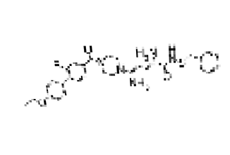 CCOc1ccc(-c2ccc(C(=O)N3CCN(/C(N)=C/C=C(\N)C(=O)NSCc4ccccc4)CC3)cc2F)cc1